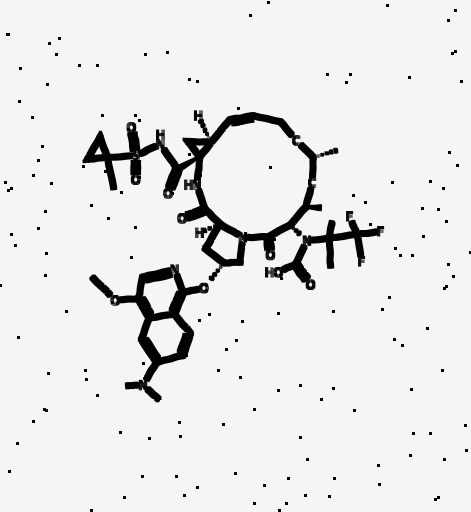 COc1cnc(O[C@@H]2C[C@H]3C(=O)N[C@]4(C(=O)NS(=O)(=O)C5(C)CC5)C[C@H]4/C=C\CC[C@H](C)C[C@@H](C)[C@H](N(C(=O)O)C(C)(C)C(F)(F)F)C(=O)N3C2)c2ccc(N(C)C)cc12